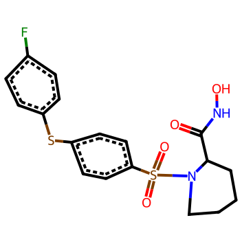 O=C(NO)C1CCCCN1S(=O)(=O)c1ccc(Sc2ccc(F)cc2)cc1